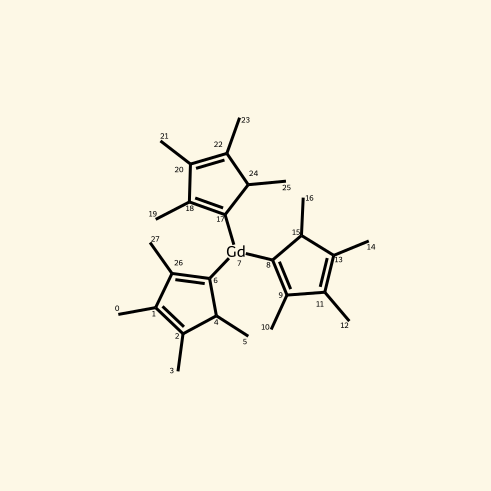 CC1=C(C)C(C)[C]([Gd]([C]2=C(C)C(C)=C(C)C2C)[C]2=C(C)C(C)=C(C)C2C)=C1C